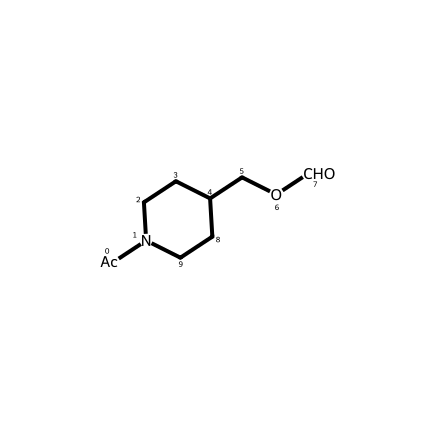 CC(=O)N1CCC(COC=O)CC1